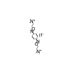 C[N+](C)(C)CCON=C1C=CC(=NOCC[N+](C)(C)C)C=C1.[I-].[I-]